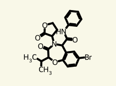 CC(C)C1Oc2ccc(Br)cc2C(C(=O)Nc2ccccc2)N(C2CCOC2=O)C1=O